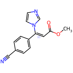 COC(=O)/C=C(/c1ccc(C#N)cc1)n1ccnc1